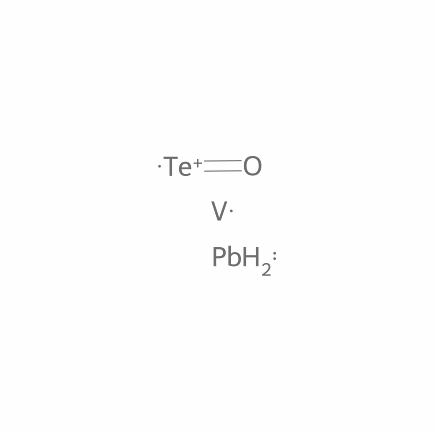 O=[Te+].[PbH2].[V]